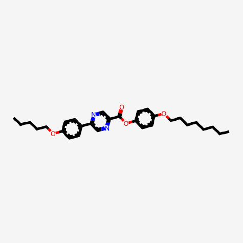 CCCCCCCCOc1ccc(OC(=O)c2cnc(-c3ccc(OCCCCC)cc3)cn2)cc1